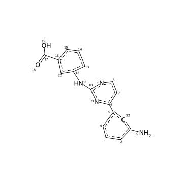 Nc1cccc(-c2ccnc(Nc3cccc(C(=O)O)c3)n2)c1